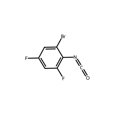 O=C=Nc1c(F)cc(F)cc1Br